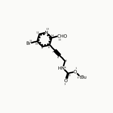 CC(C)(C)OC(=O)NCC#Cc1cc(Br)cnc1C=O